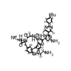 Cc1nc(-c2ccc(C(C)(C)C)cc2)nc(C)c1C(=O)NC(CCN)C(=O)N(C)C1C(=O)NC(C)C(=O)NC(C(=O)NCC#N)Cc2ccc(O)c(c2)-c2cc1ccc2OC(C)CN